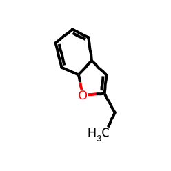 CCC1=CC2C=CC=CC2O1